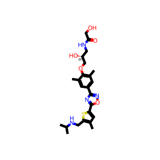 Cc1cc(-c2nc(-c3cc(C)c(OC[C@H](O)CNC(=O)CO)c(C)c3)no2)sc1CNC(C)C